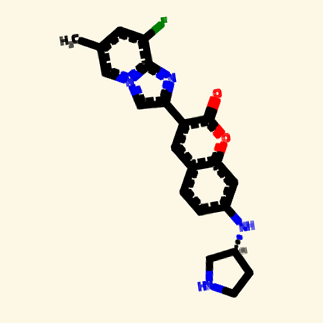 Cc1cc(F)c2nc(-c3cc4ccc(N[C@@H]5CCNC5)cc4oc3=O)cn2c1